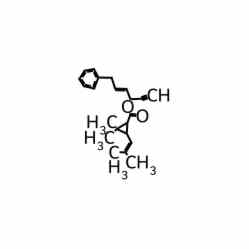 C#CC(C=CCc1ccccc1)OC(=O)C1C(C=C(C)C)C1(C)C